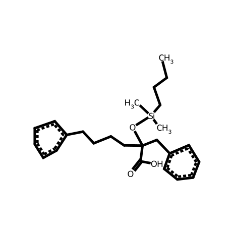 CCCC[Si](C)(C)OC(CCCCc1ccccc1)(Cc1ccccc1)C(=O)O